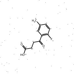 Cc1ccc(F)c(C(=O)CCC(=O)O)c1